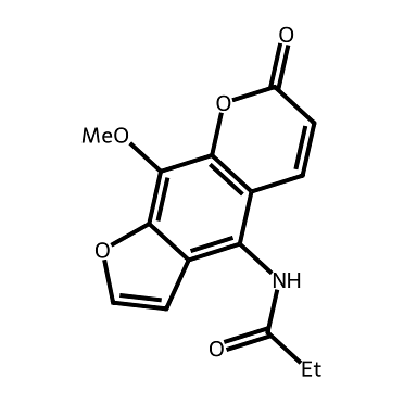 CCC(=O)Nc1c2ccoc2c(OC)c2oc(=O)ccc12